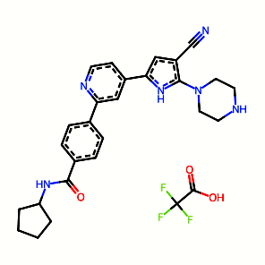 N#Cc1cc(-c2ccnc(-c3ccc(C(=O)NC4CCCC4)cc3)c2)[nH]c1N1CCNCC1.O=C(O)C(F)(F)F